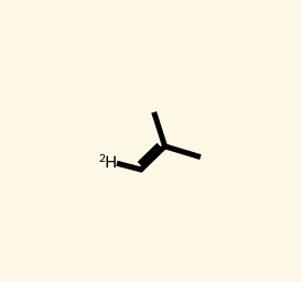 [2H]C=C(C)C